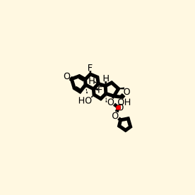 C[C@@H]1C[C@H]2[C@@H]3C[C@H](F)C4=CC(=O)C=C[C@]4(C)[C@@]3(F)[C@@H](O)C[C@]2(C)[C@@]1(OC(=O)OC1CCCC1)C(=O)O